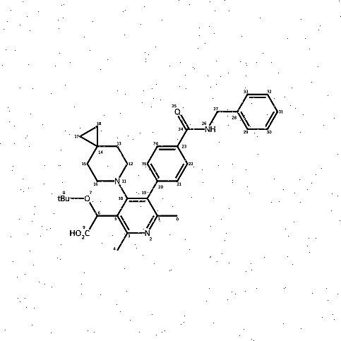 Cc1nc(C)c(C(OC(C)(C)C)C(=O)O)c(N2CCC3(CC2)CC3)c1-c1ccc(C(=O)NCc2ccccc2)cc1